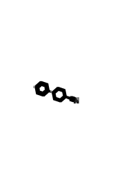 N#C[C@H]1CC[C@H](c2cc[c]cc2)CC1